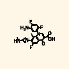 CNC1CN(c2c(F)cc3c(=O)c(C(=O)O)cn(-c4cc(N)c(F)cc4F)c3c2C)C1